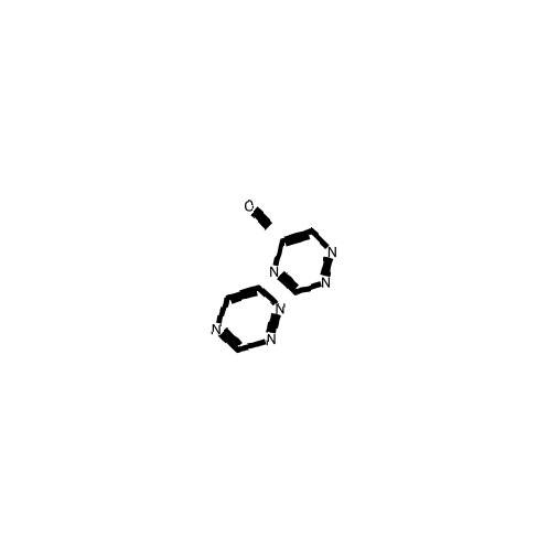 C=O.c1cnncn1.c1cnncn1